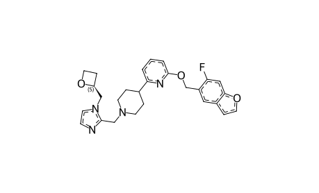 Fc1cc2occc2cc1COc1cccc(C2CCN(Cc3nccn3C[C@@H]3CCO3)CC2)n1